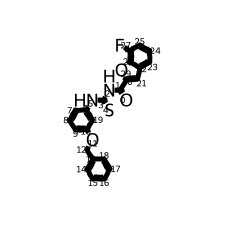 O=C(NC(=S)Nc1cccc(OCc2ccccc2)c1)c1cc2cccc(F)c2o1